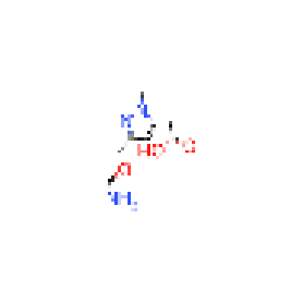 CC(=O)O.Cc1ccn(C)n1.NC=O